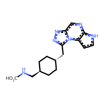 O=C(O)NC[C@H]1CC[C@H](Cc2nnc3cnc4[nH]ccc4n23)CC1